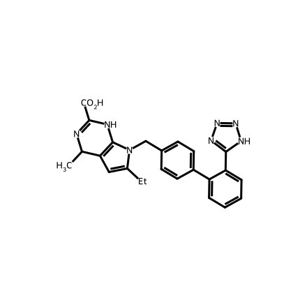 CCc1cc2c(n1Cc1ccc(-c3ccccc3-c3nnn[nH]3)cc1)NC(C(=O)O)=NC2C